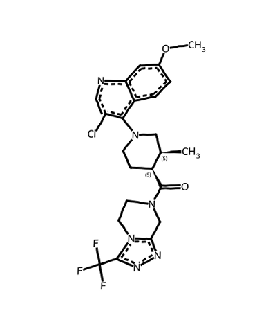 COc1ccc2c(N3CC[C@H](C(=O)N4CCn5c(nnc5C(F)(F)F)C4)[C@H](C)C3)c(Cl)cnc2c1